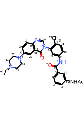 CC(=O)Nc1cccc(C(=O)Nc2ccc(C)c(-n3cnc4ccc(N5CCN(C)CC5)cc4c3=O)c2)c1